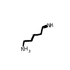 N=CC[CH]CCN